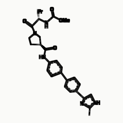 COC(=O)N[C@H](C(=O)N1CC[C@H](C(=O)Nc2ccc(-c3ccc(-c4c[nH]c(C)n4)cc3)cc2)C1)C(C)C